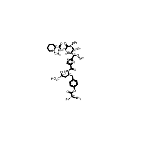 CCCO[C@H](C[C@H](C(C)C)N(CCC)C(=O)[C@@H](NC(=O)[C@H]1CCCCN1C)[C@@H](C)CC)c1nc(C(=O)N[C@@H](Cc2ccc(OC(=O)[C@H](N)C(C)C)cc2)C[C@H](C)C(=O)O)cs1